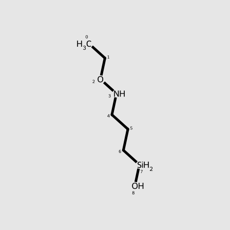 CCONCCC[SiH2]O